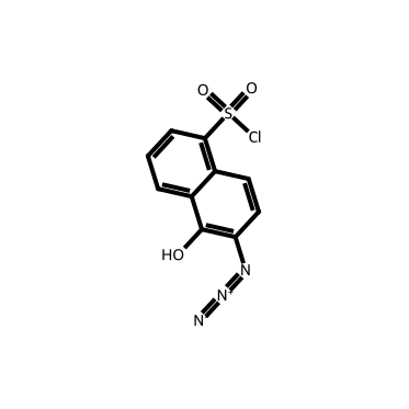 [N-]=[N+]=Nc1ccc2c(S(=O)(=O)Cl)cccc2c1O